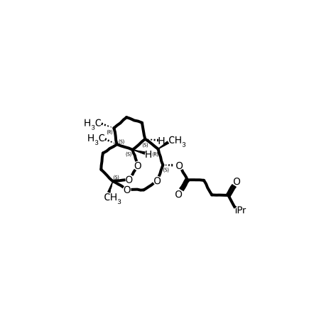 CC(C)C(=O)CCC(=O)O[C@@H]1OCO[C@]2(C)CC[C@@]3(C)[C@H](C)CC[C@@H]([C@H]1C)[C@@H]3OO2